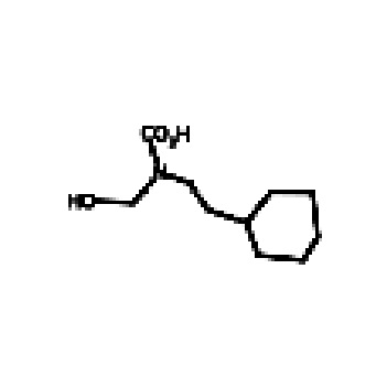 O=C(O)N(CO)CCC1CCCCC1